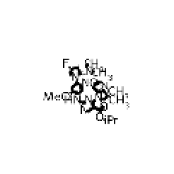 COc1cc(N2C[C@@H](F)C[C@@H]2CN(C)C)c([N+](=O)[O-])cc1Nc1ncc(C(=O)OC(C)C)c(N2CC(C)(C)c3ncccc32)n1